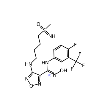 CS(=N)(=O)CCCCNc1nonc1/C(=N/O)Nc1ccc(F)c(C(F)(F)F)c1